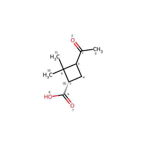 CC(=O)C1C[C@H](C(=O)O)C1(C)C